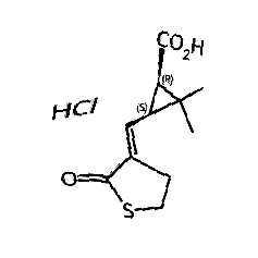 CC1(C)[C@H](C(=O)O)[C@@H]1C=C1CCSC1=O.Cl